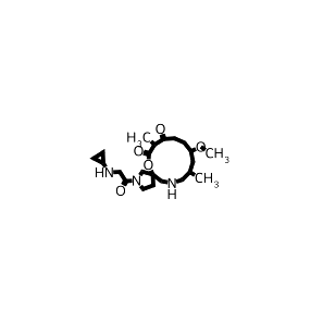 COC1CCC(=O)C(C)C(=O)OC2(CCN(C(=O)CNC3CC3)C2)CNCC(C)C1